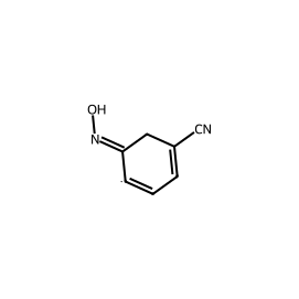 N#CC1=CC=[C]C(=NO)C1